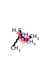 CCCCCCCC[N+](C)(OCC)C(=O)CC(=O)N(C)OCC